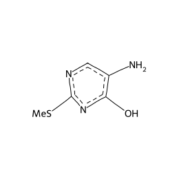 CSc1ncc(N)c(O)n1